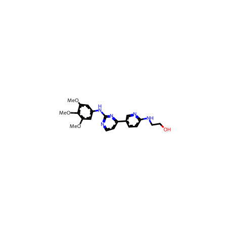 COc1cc(Nc2nccc(-c3ccc(NCCO)nc3)n2)cc(OC)c1OC